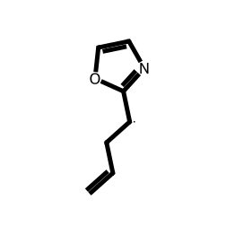 C=CC[CH]c1ncco1